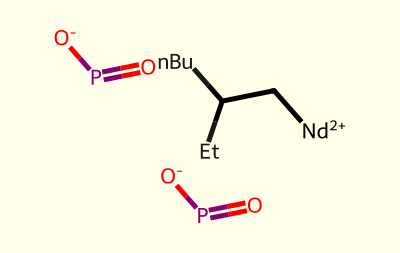 CCCCC(CC)[CH2][Nd+2].O=P[O-].O=P[O-]